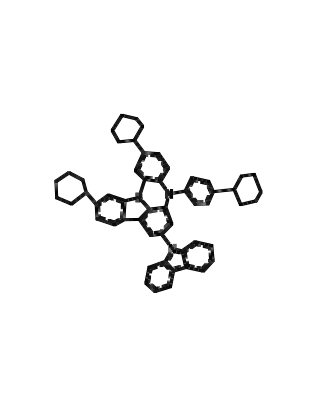 c1ccc2c(c1)c1ccccc1n2-c1cc2c3c(c1)N(c1ccc(C4CCCCC4)cc1)c1ccc(C4CCCCC4)cc1B3c1cc(C3CCCCC3)ccc1-2